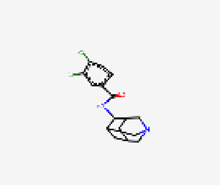 O=C(NC1C2CC3CC1CN(C3)C2)c1ccc(Cl)c(Cl)c1